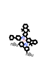 CCCCc1ccc2c(c1)c1cc(CCCC)cc3c1n2-c1c2c(cc4c1C(C)(C)c1ccccc1-4)-c1cc4c(cc1N(c1ccc(-c5ccccc5)cc1)B23)C(C)(C)c1ccccc1C4(C)C